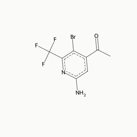 CC(=O)c1cc(N)nc(C(F)(F)F)c1Br